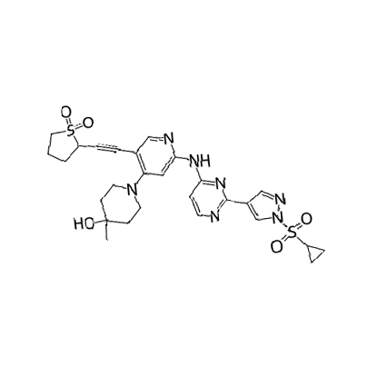 CC1(O)CCN(c2cc(Nc3ccnc(-c4cnn(S(=O)(=O)C5CC5)c4)n3)ncc2C#CC2CCCS2(=O)=O)CC1